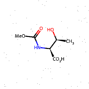 COC(=O)N[C@H](C(=O)O)[C@H](C)O